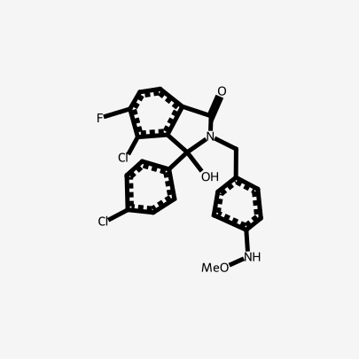 CONc1ccc(CN2C(=O)c3ccc(F)c(Cl)c3C2(O)c2ccc(Cl)cc2)cc1